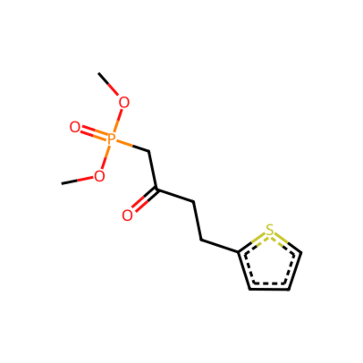 COP(=O)(CC(=O)CCc1cccs1)OC